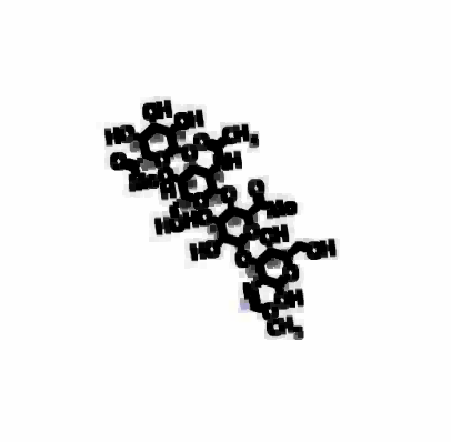 CO/C=N\[C@@H]1[C@@H](O[C@@H]2O[C@H]([C](=O)[Mo])[C@@H](O[C@@H]3O[C@H](CO)[C@@H](O)[C@H](O[C@@H]4O[C@H]([C](=O)[Mo])[C@@H](O)[C@H](O)[C@H]4O)[C@H]3NC(C)=O)[C@H](O)[C@H]2O)[C@H](O)[C@@H](CO)O[C@H]1O